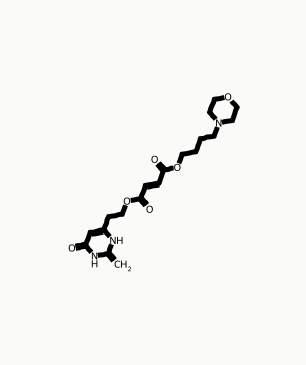 C=C1NC(=O)C=C(CCOC(=O)/C=C/C(=O)OCCCCN2CCOCC2)N1